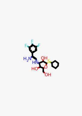 N/C(=C\NC1C(O)C(CO)OC(SC2CCCCC2)C1O)c1cc(F)c(F)c(F)c1